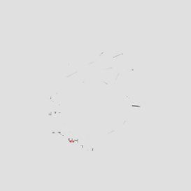 COC(=O)[C@H]1[C@H](O)[C@H](C)[C@@H](O)[C@@H](C)/C=C(/C)C2=C3C(=C(C)C(=O)c4c(O)c(c(C)c(OC(C)=O)c43)NC(=O)/C(C)=C\C=C\[C@@H](C)[C@@H](O)[C@@H](C)[C@H]1O)OCO2